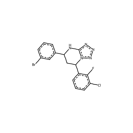 Fc1c(Cl)cccc1C1CC(c2cccc(Br)c2)Nc2nnnn21